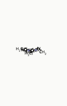 C=Cc1ccc(/C=N/c2ccc(/C=C/c3ccc(N=C)cc3C)c(C)c2)s1